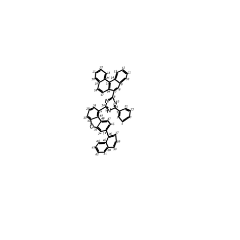 c1ccc(-c2nc(-c3cc4ccccc4c4c3ccc3ccccc34)nc(-c3cccc4oc5cc(-c6cccc7ccccc67)ccc5c34)n2)cc1